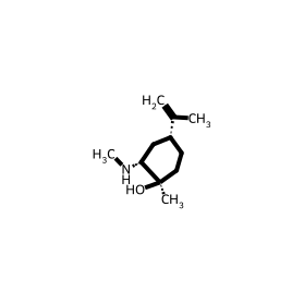 C=C(C)[C@@H]1CC[C@@](C)(O)[C@H](NC)C1